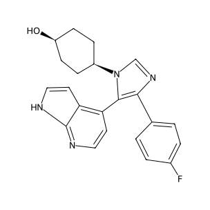 O[C@H]1CC[C@@H](n2cnc(-c3ccc(F)cc3)c2-c2ccnc3[nH]ccc23)CC1